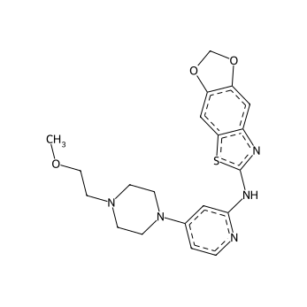 COCCN1CCN(c2ccnc(Nc3nc4cc5c(cc4s3)OCO5)c2)CC1